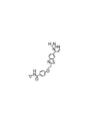 Nc1nccc(-c2ccc3nc(CCOc4ccc(C(=O)NC5CC5)cc4)sc3c2)n1